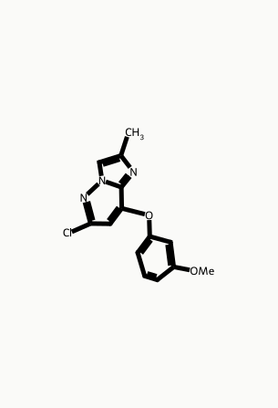 COc1cccc(Oc2cc(Cl)nn3cc(C)nc23)c1